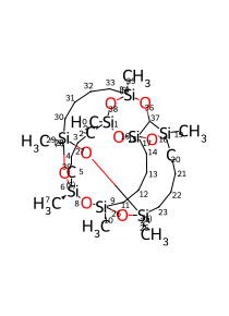 C[Si]12CCCC[Si@]3(C)O[Si]4(C)CCCC[Si]5(O1)O[Si]1(C)CCCC[Si@](C)(O4)O[Si@](C)(CCCC[Si@@](C)(OC15)O2)O3